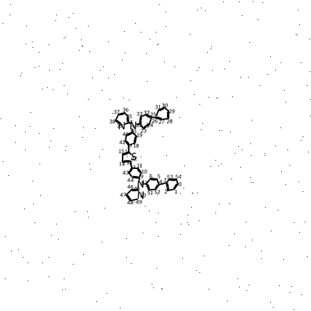 c1ccc(-c2ccc(N(c3ccc(-c4ccc(-c5ccc(N(c6ccc(-c7ccccc7)cc6)c6ccccn6)cc5)s4)cc3)c3ccccn3)cc2)cc1